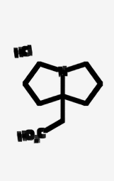 Cl.O=C(O)CC12CCCN1CCC2